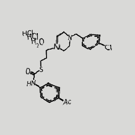 CC(=O)c1ccc(NC(=O)SCCCN2CCN(Cc3ccc(Cl)cc3)CC2)cc1.Cl.Cl.O